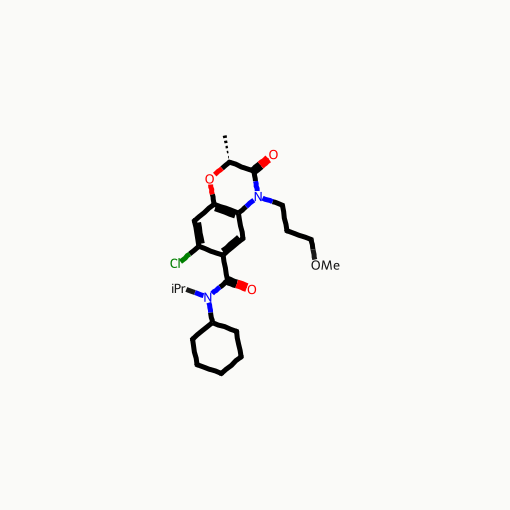 COCCCN1C(=O)[C@@H](C)Oc2cc(Cl)c(C(=O)N(C(C)C)C3CCCCC3)cc21